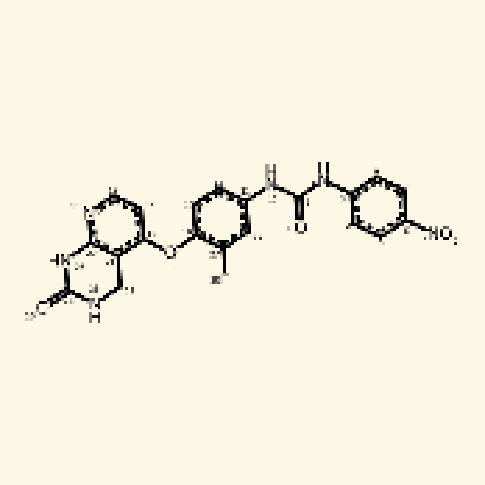 O=C(Nc1ccc([N+](=O)[O-])cc1)Nc1ccc(Oc2ccnc3c2CNC(=O)N3)c(F)c1